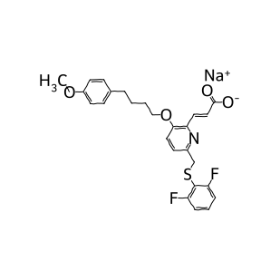 COc1ccc(CCCCOc2ccc(CSc3c(F)cccc3F)nc2/C=C/C(=O)[O-])cc1.[Na+]